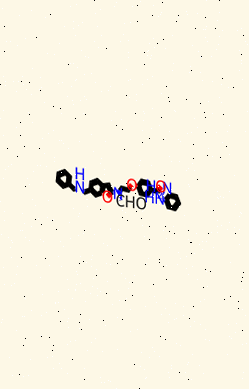 Nc1ccccc1NC(=O)c1ccc(OCCN(C=O)c2cc3ccc(CNCc4ccccc4)cc3o2)cc1